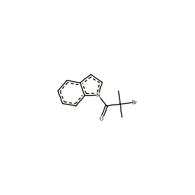 CC(C)(Br)C(=O)n1ccc2ccccc21